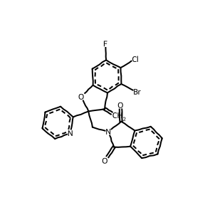 C=C1c2c(cc(F)c(Cl)c2Br)OC1(CN1C(=O)c2ccccc2C1=O)c1ccccn1